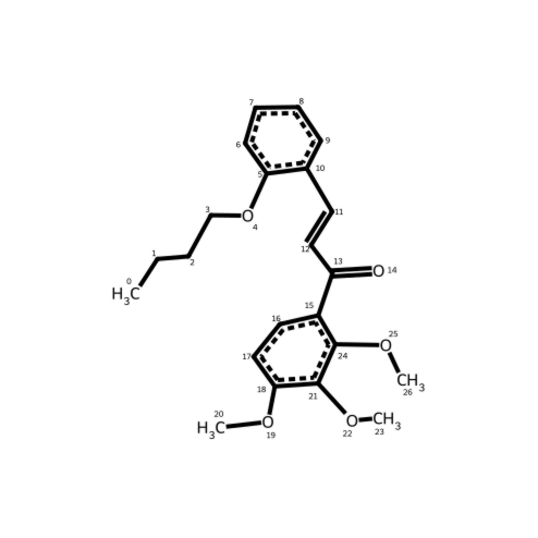 CCCCOc1ccccc1C=CC(=O)c1ccc(OC)c(OC)c1OC